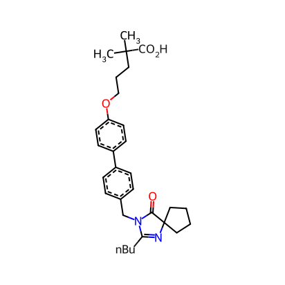 CCCCC1=NC2(CCCC2)C(=O)N1Cc1ccc(-c2ccc(OCCCC(C)(C)C(=O)O)cc2)cc1